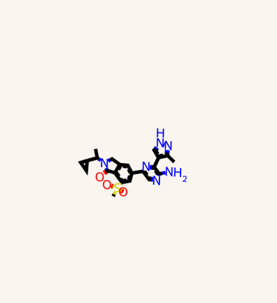 Cc1n[nH]cc1-c1nc(-c2cc3c(c(S(C)(=O)=O)c2)C(=O)N(C(C)C2CC2)C3)cnc1N